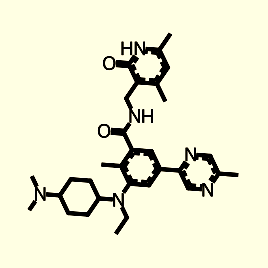 CCN(c1cc(-c2cnc(C)cn2)cc(C(=O)NCc2c(C)cc(C)[nH]c2=O)c1C)C1CCC(N(C)C)CC1